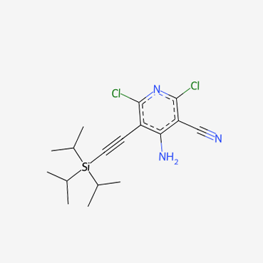 CC(C)[Si](C#Cc1c(Cl)nc(Cl)c(C#N)c1N)(C(C)C)C(C)C